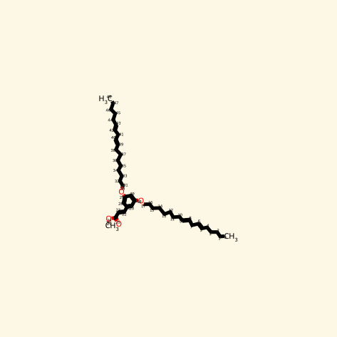 CCCCCC=CCC=CCCCCCCCCOc1cc(C=CC(=O)OC)cc(OCCCCCCCCC=CCC=CCCCCC)c1